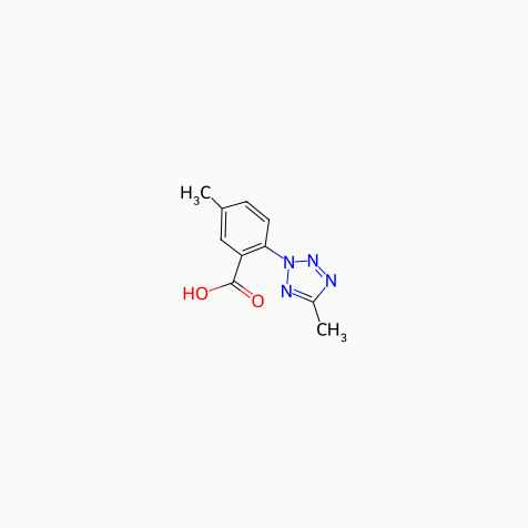 Cc1ccc(-n2nnc(C)n2)c(C(=O)O)c1